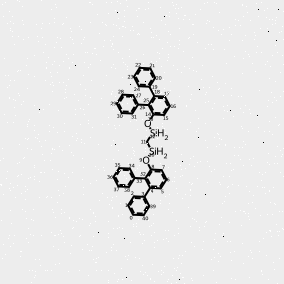 c1ccc(-c2cccc(O[SiH2]C[SiH2]Oc3cccc(-c4ccccc4)c3-c3ccccc3)c2-c2ccccc2)cc1